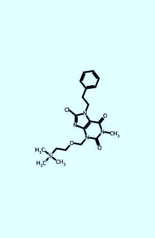 Cn1c(=O)c2c(nc(Cl)n2CCc2ccccc2)n(COCC[Si](C)(C)C)c1=O